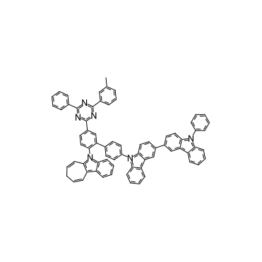 Cc1cccc(-c2nc(-c3ccccc3)nc(-c3ccc(-n4c5c(c6ccccc64)C=CCC=C5)c(-c4ccc(-n5c6ccccc6c6cc(-c7ccc8c(c7)c7ccccc7n8-c7ccccc7)ccc65)cc4)c3)n2)c1